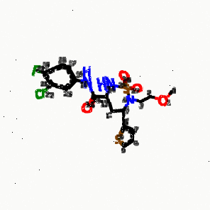 COCCN1C(c2cccs2)CC(C(=O)Nc2ccc(F)c(Cl)c2)NS1(=O)=O